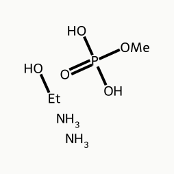 CCO.COP(=O)(O)O.N.N